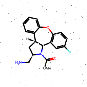 COC(=O)N1C2c3cc(F)ccc3Oc3ccccc3[C@H]2C[C@@H]1CN